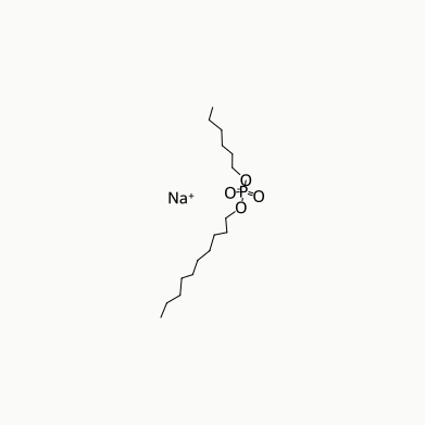 CCCCCCCCCCOP(=O)([O-])OCCCCCC.[Na+]